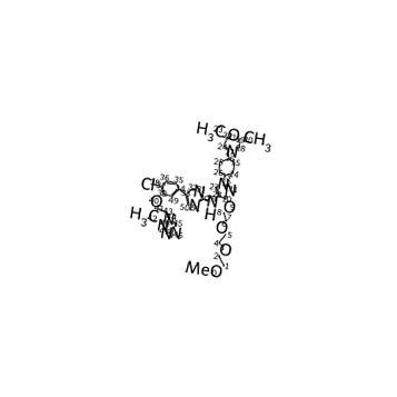 COCCOCCOCCOc1nn(C2CCC(N3C[C@@H](C)O[C@@H](C)C3)CC2)cc1Nc1ncc(-c2ccc(Cl)c(OC(C)Cn3cnnn3)c2)cn1